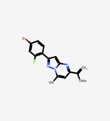 C=C(OC)c1cc(N=O)n2nc(-c3ccc(Br)cc3F)cc2n1